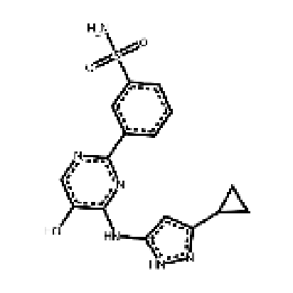 NS(=O)(=O)c1cccc(-c2ncc(O)c(Nc3cc(C4CC4)n[nH]3)n2)c1